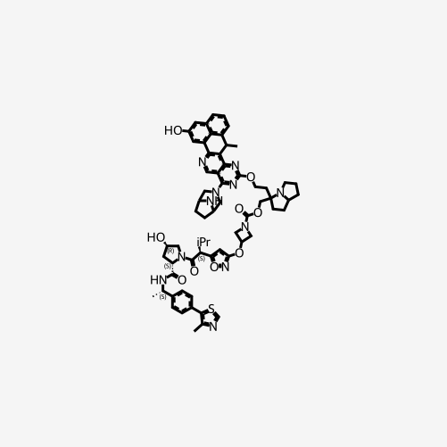 Cc1ncsc1-c1ccc([C@H](C)NC(=O)[C@@H]2C[C@@H](O)CN2C(=O)[C@H](c2cc(OC3CN(C(=O)OCC4(CCOc5nc(N6CC7CCC(C6)N7)c6cnc7c(c6n5)C(C)c5cccc6cc(O)cc-7c56)CCC5CCCN54)C3)no2)C(C)C)cc1